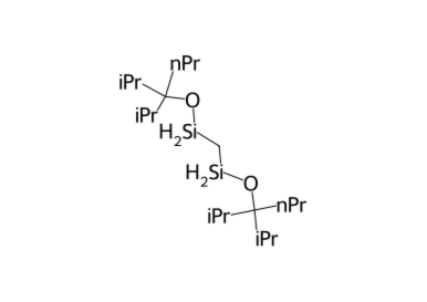 CCCC(O[SiH2]C[SiH2]OC(CCC)(C(C)C)C(C)C)(C(C)C)C(C)C